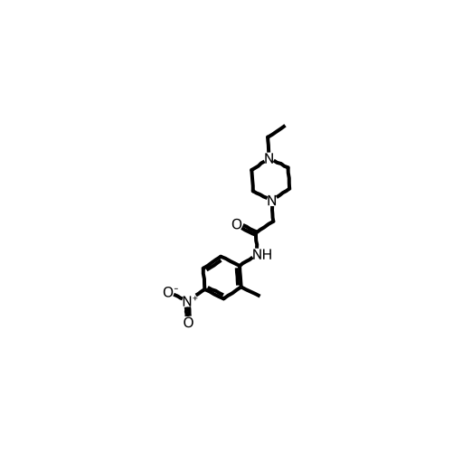 CCN1CCN(CC(=O)Nc2ccc([N+](=O)[O-])cc2C)CC1